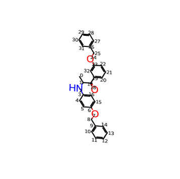 CC(Nc1ccc(OCc2ccccc2)cc1)C(=O)c1cccc(OCc2ccccc2)c1